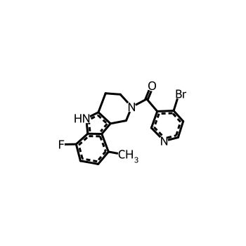 Cc1ccc(F)c2[nH]c3c(c12)CN(C(=O)c1cnccc1Br)CC3